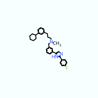 CN(CCCc1cccc(C2CCCCC2)c1)Cc1cccc(-c2cnc(-c3ccc(F)cc3)[nH]2)c1